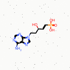 Nc1ncnc2c1ncn2CC[C@@H](O)/C=C/P(=O)(O)O